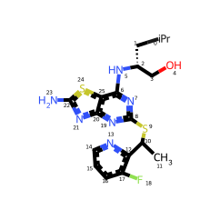 CC(C)C[C@H](CO)Nc1nc(SC(C)c2ncccc2F)nc2nc(N)sc12